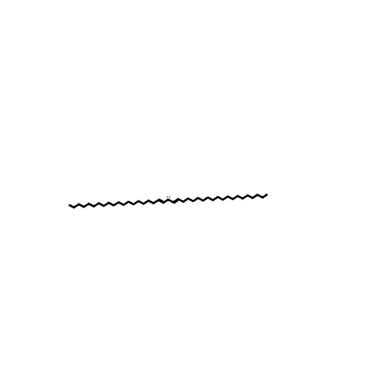 CCCCCCCCCCCCCCCCCCC=C[C]C=CCCCCCCCCCCCCCCCCCC